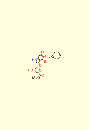 COC(=O)C1CC(O)CC(Oc2c[nH]c3cc(Br)c(OCC4C5CCC#CCCC54)c(Br)c23)O1